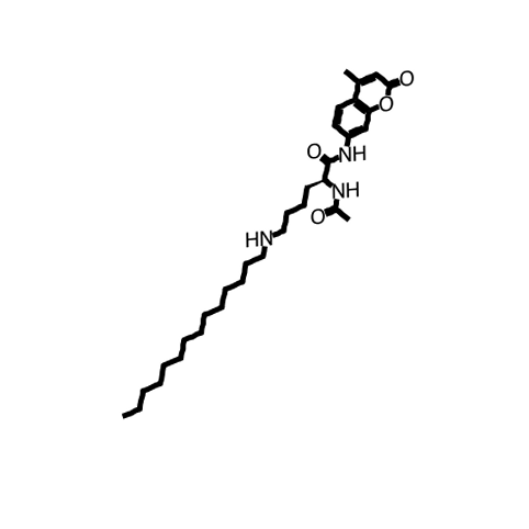 CCCCCCCCCCCCCCNCCCC[C@H](NC(C)=O)C(=O)Nc1ccc2c(C)cc(=O)oc2c1